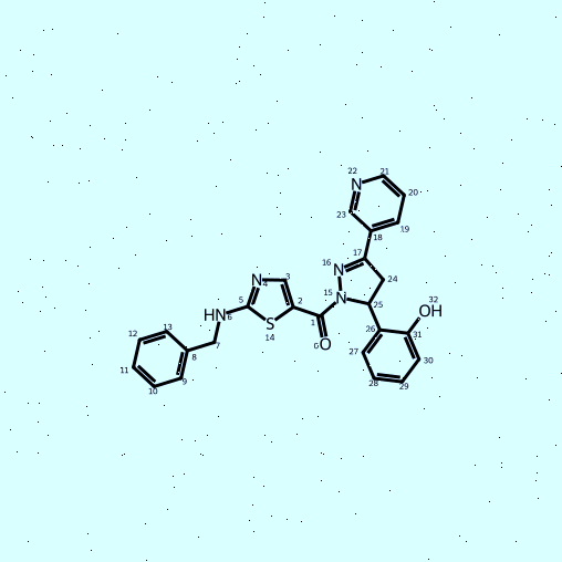 O=C(c1cnc(NCc2ccccc2)s1)N1N=C(c2cccnc2)CC1c1ccccc1O